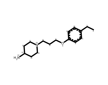 CCc1ccc(OCCCN2CCC(N)CC2)cc1